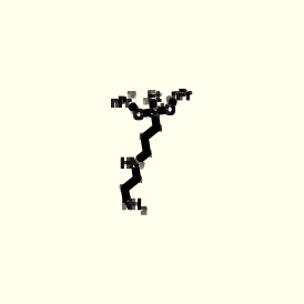 CCCO[Si](CC)(CCCNCCN)OCCC